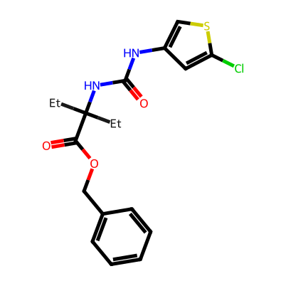 CCC(CC)(NC(=O)Nc1csc(Cl)c1)C(=O)OCc1ccccc1